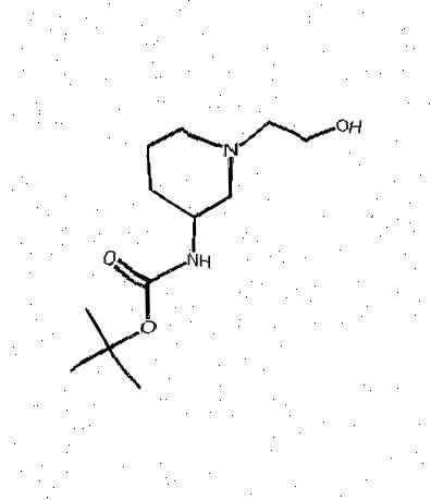 CC(C)(C)OC(=O)NC1CCCN(CCO)C1